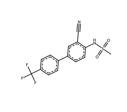 CS(=O)(=O)Nc1ccc(-c2ccc(C(F)(F)F)cc2)cc1C#N